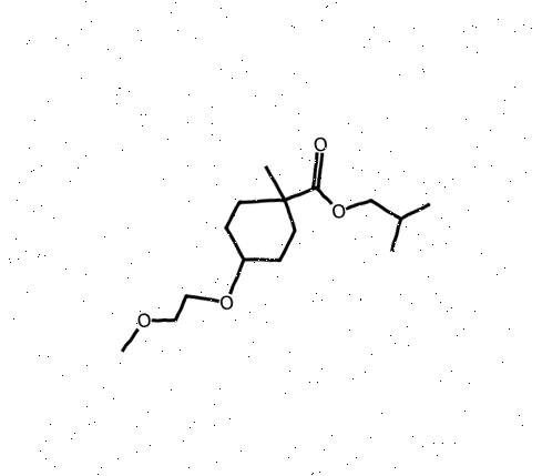 COCCOC1CCC(C)(C(=O)OCC(C)C)CC1